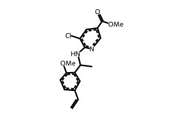 C=Cc1ccc(OC)c(C(C)Nc2ncc(C(=O)OC)cc2Cl)c1